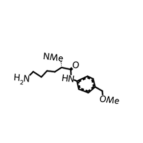 CN[C@@H](CCCCN)C(=O)Nc1ccc(COC)cc1